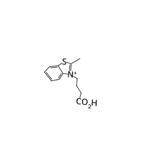 Cc1sc2ccccc2[n+]1CCCC(=O)O